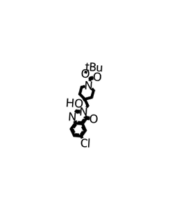 CC(C)(C)OC(=O)N1CCC(O)(Cn2cnc3ccc(Cl)cc3c2=O)CC1